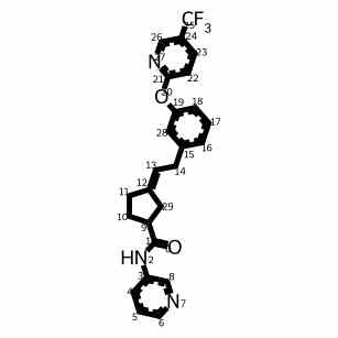 O=C(Nc1cccnc1)C1CCC(=CCc2cccc(Oc3ccc(C(F)(F)F)cn3)c2)C1